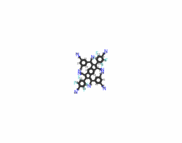 N#CC1=C(c2c(F)c(F)c(C#N)c(F)c2F)/C(=C(\C#N)c2cc(C#N)cc(C#N)c2)c2cc3c(cc21)/C(=C(/C#N)c1cc(C#N)cc(C#N)c1)C(c1c(F)c(F)c(C#N)c(F)c1F)=C3C#N